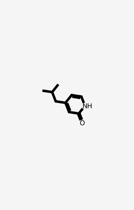 CC(C)Cc1cc[nH]c(=O)c1